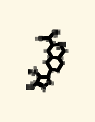 Cc1c(O)noc1C1CCC2CNC(C(=O)O)CC2C1